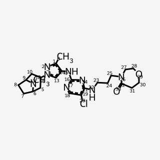 Cc1nn(C2CC3CCC(C2)N3C)cc1Nc1ncc(Cl)c(NCCCN2CCOCCC2=O)n1